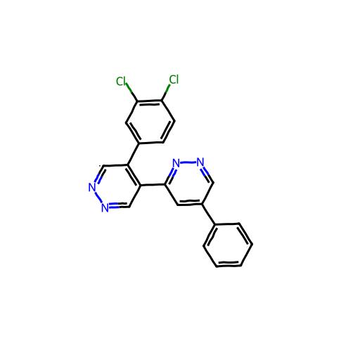 Clc1ccc(-c2[c]nncc2-c2cc(-c3ccccc3)cnn2)cc1Cl